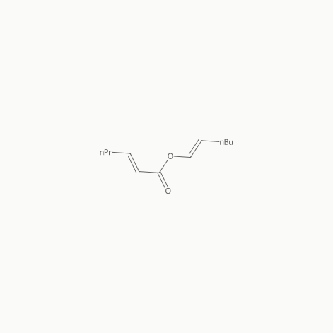 CCCC=CC(=O)OC=CCCCC